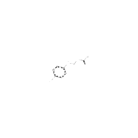 CC(C)C(=O)OCOc1ccc(C(C)(C)C)cc1